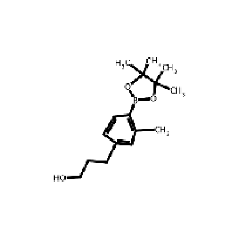 Cc1cc(CCCO)ccc1B1OC(C)(C)C(C)(C)O1